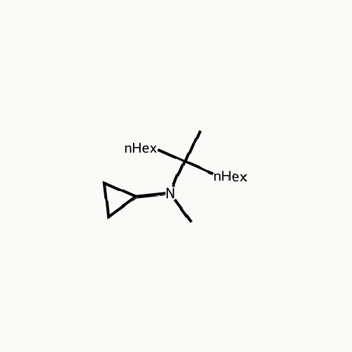 CCCCCCC(C)(CCCCCC)N(C)C1CC1